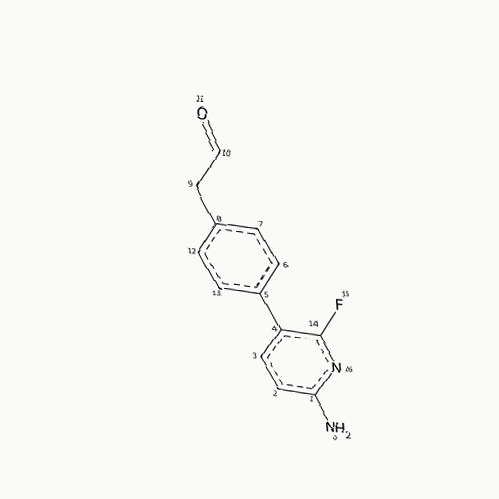 Nc1ccc(-c2ccc(CC=O)cc2)c(F)n1